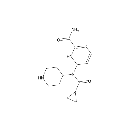 NC(=O)C1=[C]C=CC(N(C(=O)C2CC2)C2CCNCC2)N1